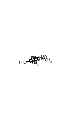 CC#Cc1cc(C)c(C2C(=O)CC3(CCN(C(=O)CC(C)=O)CC3)CC2=O)c(C)c1